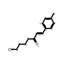 Cc1ccc(/C=C/C(=O)CCCCCl)cc1